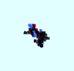 CC[C@H](C)[C@@H]([C@@H](CC(=O)N1CCC[C@H]1[C@H](OC)[C@@H](C)C(=O)N[C@@H](Cc1ccccc1)c1nccs1)OC)N(C)C(=O)[C@@H](NC(=O)C(C)(C)NC(=O)OCc1ccc(NC(=O)[C@H](CCCNC(N)=O)NC(=O)[C@@H](NC(=O)[C@H](COCCN)NC(C)=O)C(C)C)cc1)C(C)C